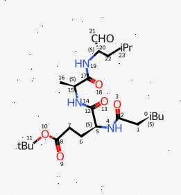 CC[C@H](C)CC(=O)N[C@@H](CCC(=O)OC(C)(C)C)C(=O)N[C@@H](C)C(=O)N[C@H](C=O)CC(C)C